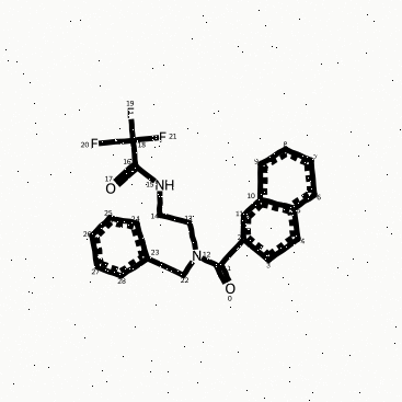 O=C(c1ccc2ccccc2c1)N(CCNC(=O)C(F)(F)F)Cc1ccccc1